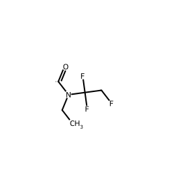 CCN([C]=O)C(F)(F)CF